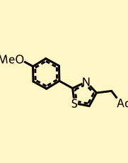 COc1ccc(-c2nc(CC(C)=O)cs2)cc1